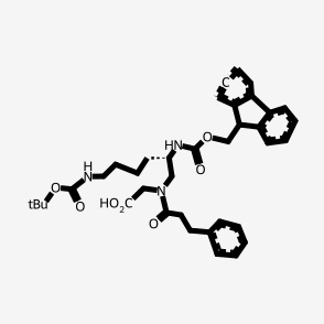 CC(C)(C)OC(=O)NCCCC[C@@H](CN(CC(=O)O)C(=O)CCc1ccccc1)NC(=O)OCC1c2ccccc2-c2ccccc21